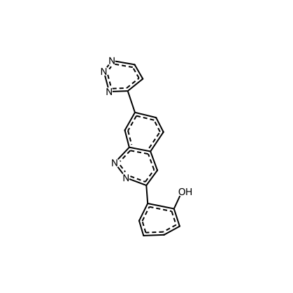 Oc1ccccc1-c1cc2ccc(-c3ccnnn3)cc2nn1